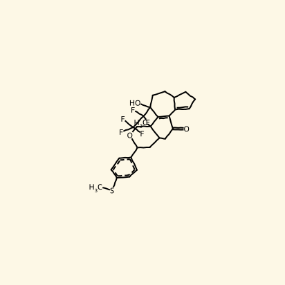 CSc1ccc(C2CC3CC(=O)C4=C(C3(C)CO2)C(O)(C(F)(F)C(F)(F)F)CCC2CCC=C42)cc1